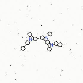 c1ccc(-c2ccc(-n3c4ccccc4c4cc(-c5ccc6c(c5)c5cc7c8ccccc8n(-c8ccc9ccccc9c8)c7cc5n6-c5ccccc5)ccc43)cc2)cc1